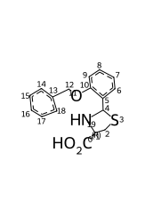 O=C(O)[C@@H]1CSC(c2ccccc2OCc2ccccc2)N1